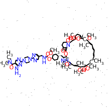 CCN(C)C(=O)c1cnc(N2CCN(c3ncc(CNC(=O)O[C@@H]4CC[C@@H](C[C@@H](N)[C@@H]5C[C@@H](OC)[C@H](C)/C=C(\C)[C@@H](O)[C@@H](OC)C(=O)[C@H](C)C[C@H](C)/C=C/C=C/C=C(\C)[C@@H](OC)C[C@@H]6CC[C@@H](C)[C@@](O)(O6)C(=O)C(=O)N6CCCC[C@H]6C(=O)O5)C[C@H]4OC)cn3)CC2)nc1N